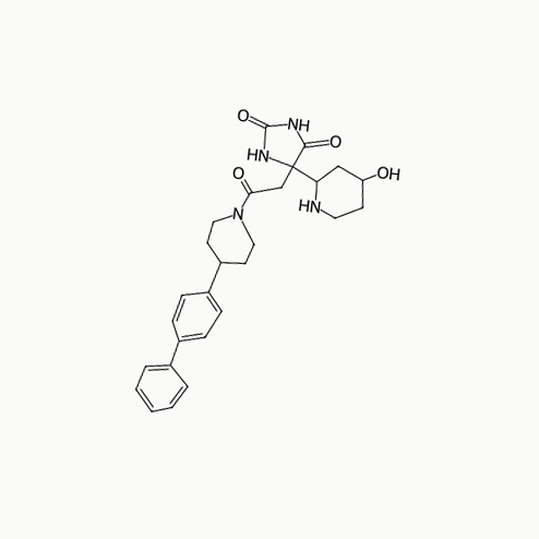 O=C1NC(=O)C(CC(=O)N2CCC(c3ccc(-c4ccccc4)cc3)CC2)(C2CC(O)CCN2)N1